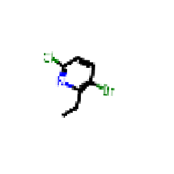 CCc1nc(Cl)ccc1Br